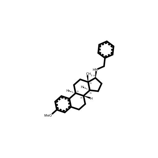 COc1ccc2c(c1)CC[C@@H]1[C@@H]2CC[C@]2(C)[C@@H](NCc3ccccc3)CC[C@@H]12